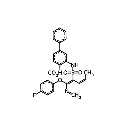 C=N/C(Oc1ccc(F)cc1)=C(\C=C/C)S(=O)(=O)Nc1cc(-c2ccccc2)ccc1C(=O)O